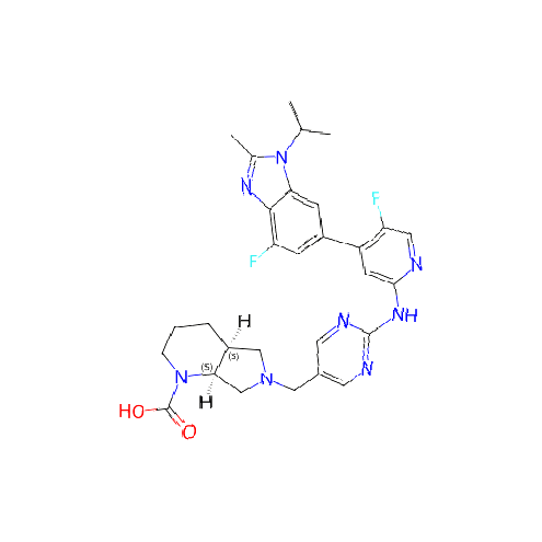 Cc1nc2c(F)cc(-c3cc(Nc4ncc(CN5C[C@@H]6CCCN(C(=O)O)[C@@H]6C5)cn4)ncc3F)cc2n1C(C)C